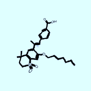 CCCCCCCOc1cc2c(cc1/C(C)=C/c1ccc(C(=O)O)cc1)C(C)(C)CCS2(=O)=O